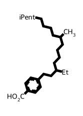 CCCC(C)CCCCC(C)CCCCC(CC)CCc1ccc(C(=O)O)cc1